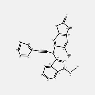 O=C1Cc2cc(C(C#Cc3ccccc3)c3cn(SI)c4ccccc34)c(O)cc2N1